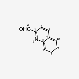 O=Cc1ccc2c(n1)=CCCC=2